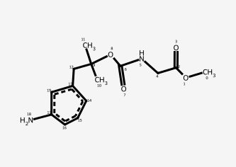 COC(=O)CNC(=O)OC(C)(C)Cc1cccc(N)c1